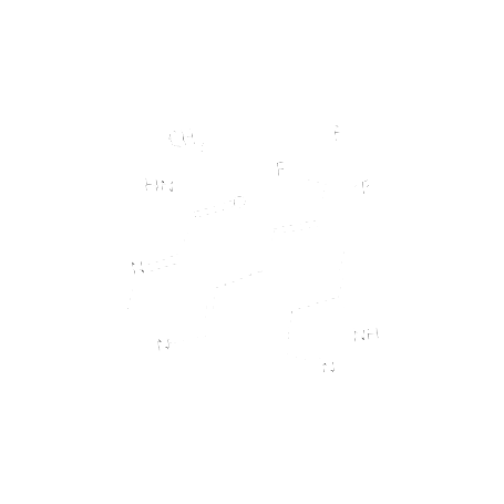 CNC(=O)c1ncncc1-c1cc(C(F)(F)F)cc2[nH]ncc12